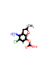 CC1Cc2c(N)c(Cl)cc(OC(=O)O)c2O1